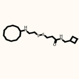 O=C(CCSSCCNC1CCCCCCCCC1)NCC1CCC1